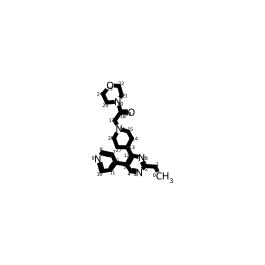 CCc1ncc(-c2ccncc2)c(C2CCN(CC(=O)N3CCOCC3)CC2)n1